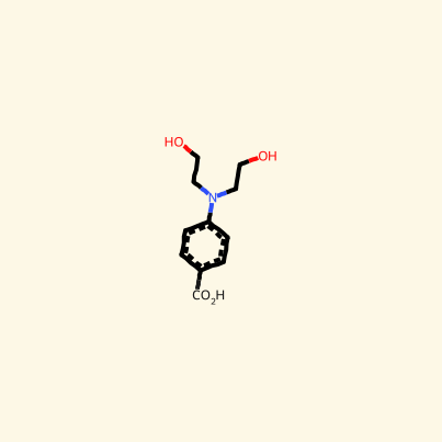 O=C(O)c1ccc(N(CCO)CCO)cc1